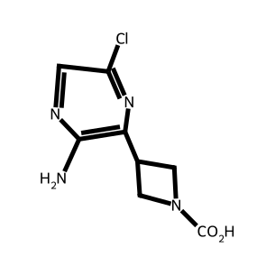 Nc1ncc(Cl)nc1C1CN(C(=O)O)C1